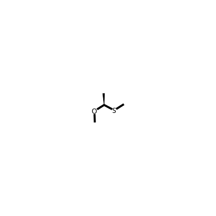 CO[C@@H](C)SC